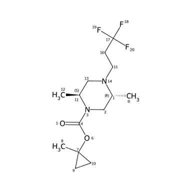 C[C@@H]1CN(C(=O)OC2(C)CC2)[C@@H](C)CN1CCC(F)(F)F